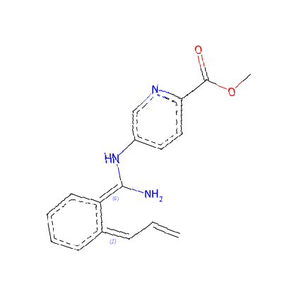 C=C/C=c1/cccc/c1=C(/N)Nc1ccc(C(=O)OC)nc1